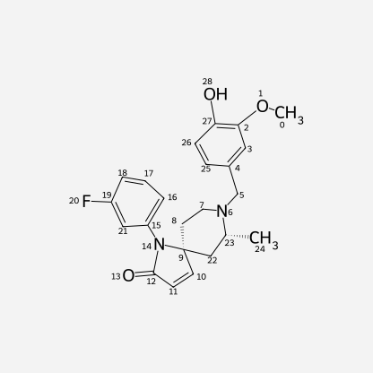 COc1cc(CN2CC[C@@]3(C=CC(=O)N3c3cccc(F)c3)C[C@H]2C)ccc1O